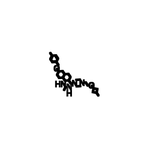 Cc1ccc(COC2CCC3C(CCC4C3NC(C)NC4N3CCN(CCOC4CC(C)C4)CC3)C2)cc1